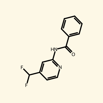 O=C(Nc1cc(C(F)F)ccn1)c1ccccc1